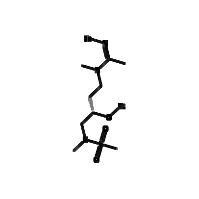 CC/N=C(/C)N(C)CC[C@@H](CN(C)S(C)(=O)=O)OCC